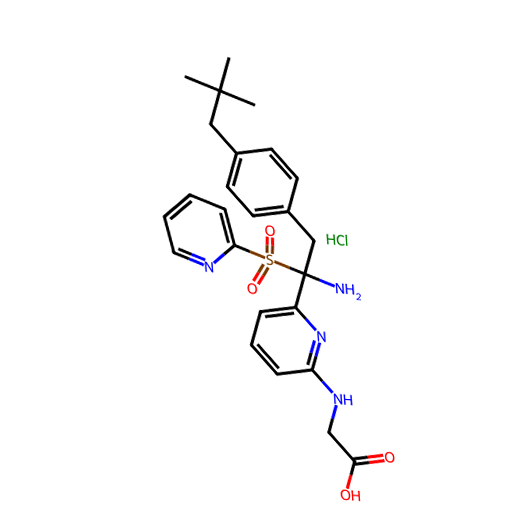 CC(C)(C)Cc1ccc(CC(N)(c2cccc(NCC(=O)O)n2)S(=O)(=O)c2ccccn2)cc1.Cl